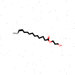 CCCCCC/C=C\CCCCCCCCCC(=O)OCCCO